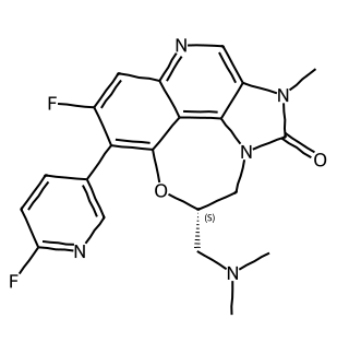 CN(C)C[C@H]1Cn2c(=O)n(C)c3cnc4cc(F)c(-c5ccc(F)nc5)c(c4c32)O1